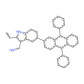 C=Cc1[nH]c2ccc(-c3ccc4c(-c5ccccc5)c5ccccc5c(-c5ccccc5)c4c3)cc2c1C=N